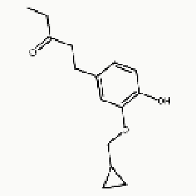 CCC(=O)CCc1ccc(O)c(OCC2CC2)c1